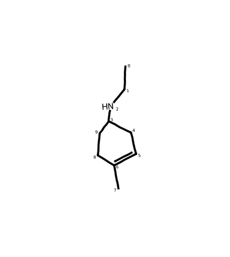 CCNC1CC=C(C)CC1